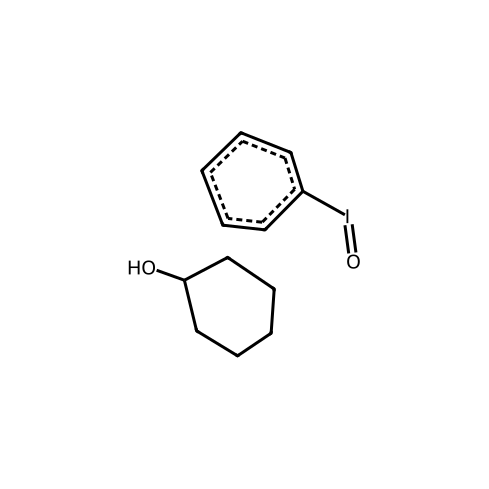 O=Ic1ccccc1.OC1CCCCC1